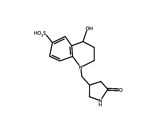 O=C1CC(CN2CCC(O)c3cc(S(=O)(=O)O)ccc32)CN1